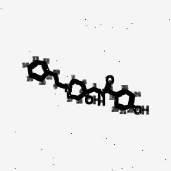 O=C(NCC1(O)CCN(CCc2ccccc2)CC1)c1ccc(O)cc1